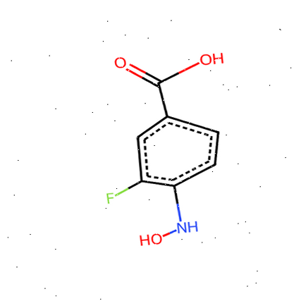 O=C(O)c1ccc(NO)c(F)c1